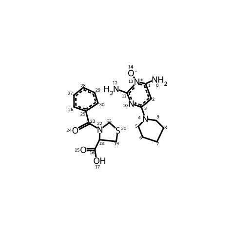 Nc1cc(N2CCCCC2)nc(N)[n+]1[O-].O=C(O)C1CSCN1C(=O)c1ccccc1